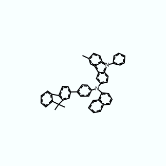 Cc1ccc2c(c1)c1cc(N(c3ccc(-c4ccc5c(c4)C(C)(C)c4ccccc4-5)cc3)c3cccc4ccccc34)ccc1n2-c1ccccc1